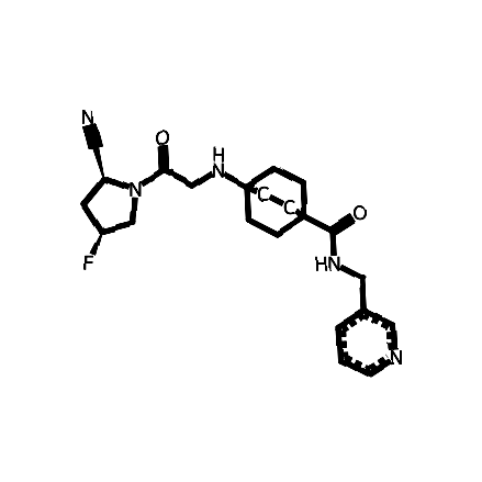 N#C[C@@H]1C[C@H](F)CN1C(=O)CNC12CCC(C(=O)NCc3cccnc3)(CC1)CC2